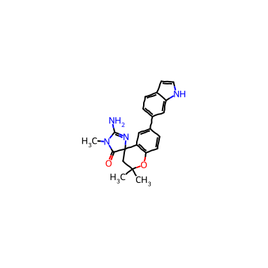 CN1C(=O)C2(CC(C)(C)Oc3ccc(-c4ccc5cc[nH]c5c4)cc32)N=C1N